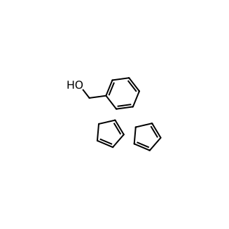 C1=CCC=C1.C1=CCC=C1.OCc1ccccc1